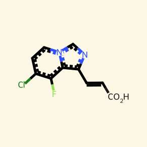 O=C(O)C=Cc1ncn2ccc(Cl)c(F)c12